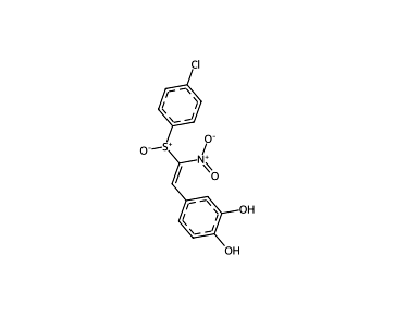 O=[N+]([O-])/C(=C\c1ccc(O)c(O)c1)[S+]([O-])c1ccc(Cl)cc1